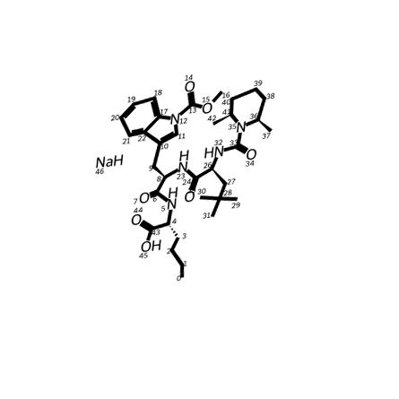 CCCC[C@@H](NC(=O)[C@@H](Cc1cn(C(=O)OC)c2ccccc12)NC(=O)[C@H](CC(C)(C)C)NC(=O)N1[C@H](C)CCC[C@@H]1C)C(=O)O.[NaH]